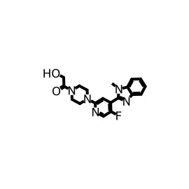 Cn1c(-c2cc(N3CCN(C(=O)CO)CC3)ncc2F)nc2ccccc21